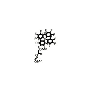 COCCO[CH]([K])COC.Fc1c(F)c(F)c([B-](c2c(F)c(F)c(F)c(F)c2F)(c2c(F)c(F)c(F)c(F)c2F)c2c(F)c(F)c(F)c(F)c2F)c(F)c1F